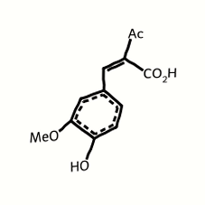 COc1cc(C=C(C(C)=O)C(=O)O)ccc1O